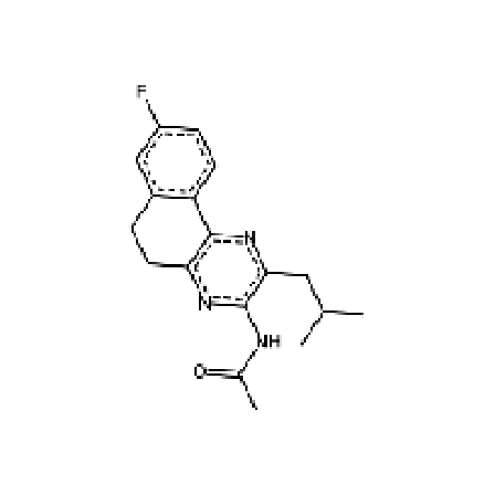 CC(=O)Nc1nc2c(nc1CC(C)C)-c1ccc(F)cc1CC2